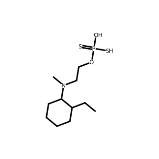 CCC1CCCCC1N(C)CCOP(O)(=S)S